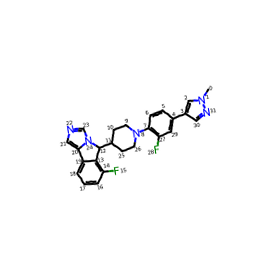 Cn1cc(-c2ccc(N3CCC(C4c5c(F)cccc5-c5cncn54)CC3)c(F)c2)cn1